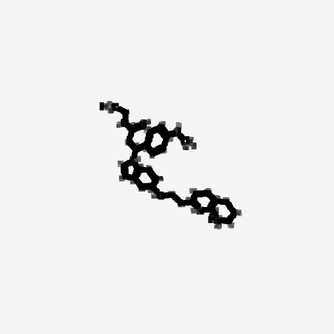 CCOC(=O)CC(c1ccc(OC)cc1)n1ccc2cc(OCCc3ccc4c(n3)NCCC4)ccc21